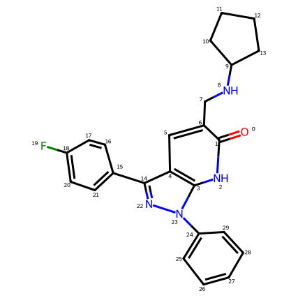 O=c1[nH]c2c(cc1CNC1CCCC1)c(-c1ccc(F)cc1)nn2-c1ccccc1